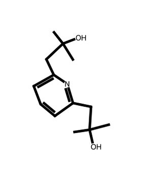 CC(C)(O)Cc1cccc(CC(C)(C)O)n1